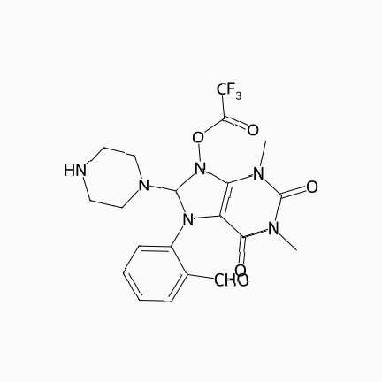 Cn1c2c(c(=O)n(C)c1=O)N(c1ccccc1C=O)C(N1CCNCC1)N2OC(=O)C(F)(F)F